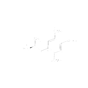 CCCCCc1cc(OC)c(C[C@@H](C)N)cc1OC